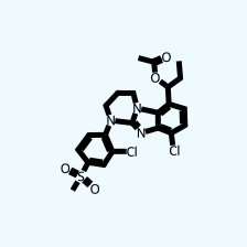 CCC(OC(C)=O)c1ccc(Cl)c2nc3n(c12)CCCN3c1ccc(S(C)(=O)=O)cc1Cl